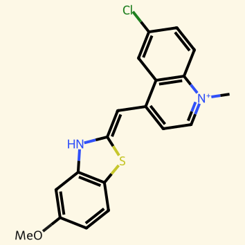 COc1ccc2c(c1)N/C(=C/c1cc[n+](C)c3ccc(Cl)cc13)S2